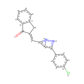 O=C1/C(=C/c2c3c(-c4ccc(Cl)cc4)nn2-3)Cc2ccccc21